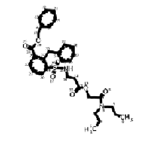 CCCN(CCC)C(=O)COC(=O)CCNS(=O)(=O)c1cccc(C(=O)OCc2ccccc2)c1Cc1ccccc1